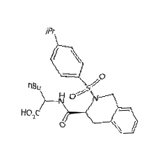 CCCCC(NC(=O)[C@@H]1Cc2ccccc2CN1S(=O)(=O)c1ccc(C(C)C)cc1)C(=O)O